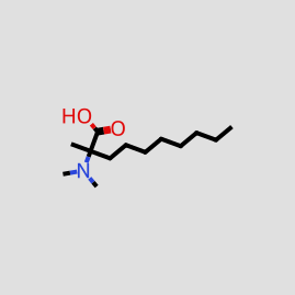 CCCCCCCCC(C)(C(=O)O)N(C)C